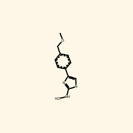 COCc1ccc(C2=C[N]C(NO)=N2)cc1